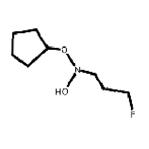 ON(CCCF)OC1CCCC1